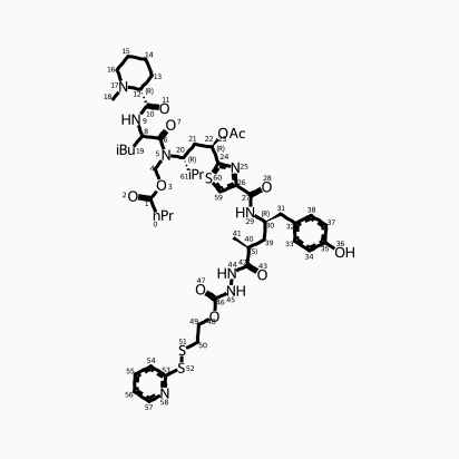 CCCC(=O)OCN(C(=O)C(NC(=O)[C@H]1CCCCN1C)C(C)CC)[C@H](C[C@@H](OC(C)=O)c1nc(C(=O)N[C@@H](Cc2ccc(O)cc2)C[C@H](C)C(=O)NNC(=O)OCCSSc2ccccn2)cs1)C(C)C